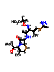 C=C(N)S/C=C(CCC)/C(=N/OC(C)(C)C(=O)O)C(=C)NC1C(=O)N2C(C(=O)OC)=C(CC)CSC12